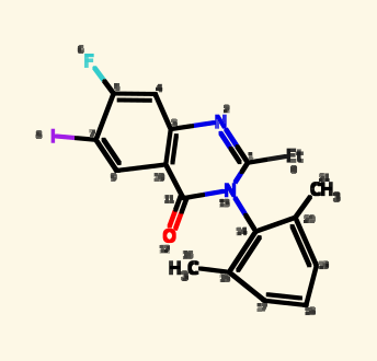 CCc1nc2cc(F)c(I)cc2c(=O)n1-c1c(C)cccc1C